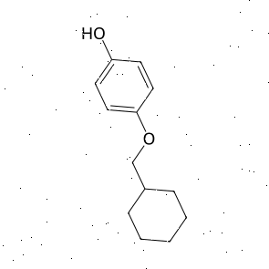 Oc1ccc(OCC2CCCCC2)cc1